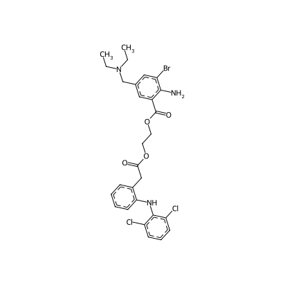 CCN(CC)Cc1cc(Br)c(N)c(C(=O)OCCOC(=O)Cc2ccccc2Nc2c(Cl)cccc2Cl)c1